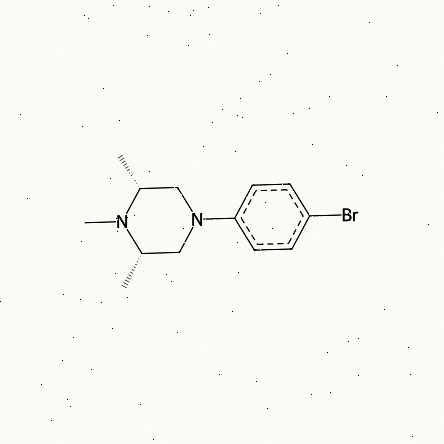 C[C@@H]1CN(c2ccc(Br)cc2)C[C@H](C)N1C